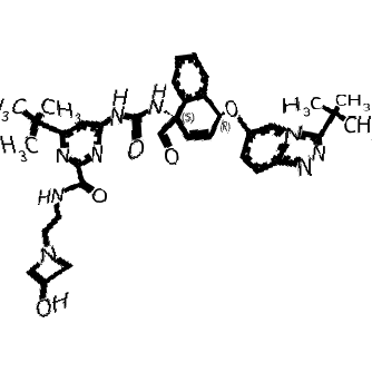 CC(C)(C)c1cc(NC(=O)N[C@@]2(C=O)C=C[C@@H](Oc3ccc4nnc(C(C)(C)C)n4c3)c3ccccc32)nc(C(=O)NCCN2CC(O)C2)n1